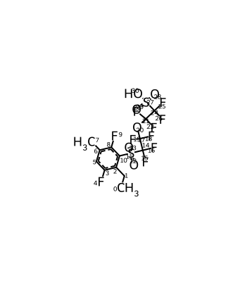 CCc1c(F)cc(C)c(F)c1S(=O)(=O)C(F)(F)C(F)(F)OC(F)(F)C(F)(F)S(=O)(=O)O